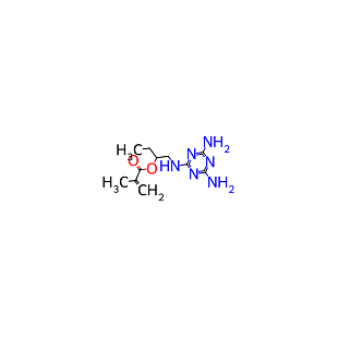 C=C(C)C(=O)OC(CC)CNc1nc(N)nc(N)n1